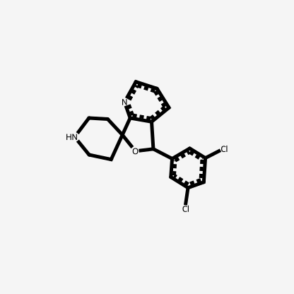 Clc1cc(Cl)cc(C2OC3(CCNCC3)c3ncccc32)c1